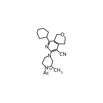 CC(=O)N1CCN(c2nc(C3CCCCC3)c3c(c2C#N)CCOC3)C[C@H]1C